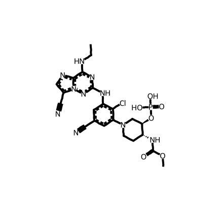 CCNc1nc(Nc2cc(C#N)cc(N3CC[C@@H](NC(=O)OC)[C@H](OP(=O)(O)O)C3)c2Cl)nn2c(C#N)cnc12